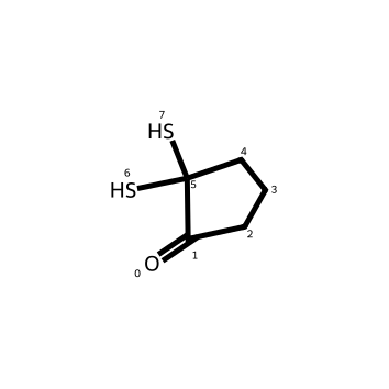 O=C1CCCC1(S)S